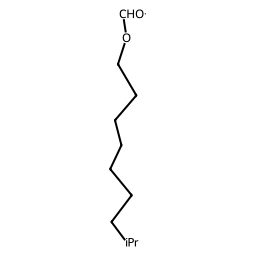 CC(C)CCCCCCCO[C]=O